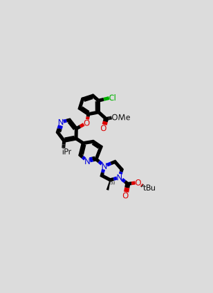 COC(=O)c1c(Cl)cccc1Oc1cncc(C(C)C)c1-c1ccc(N2CCN(C(=O)OC(C)(C)C)[C@@H](C)C2)nc1